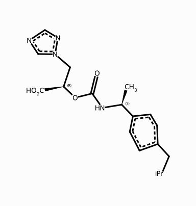 CC(C)Cc1ccc([C@H](C)NC(=O)O[C@H](Cn2cncn2)C(=O)O)cc1